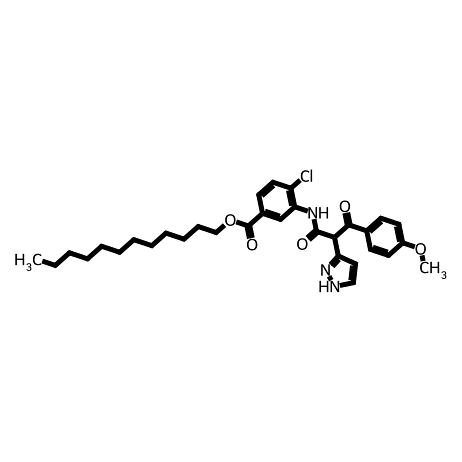 CCCCCCCCCCCCOC(=O)c1ccc(Cl)c(NC(=O)C(C(=O)c2ccc(OC)cc2)c2cc[nH]n2)c1